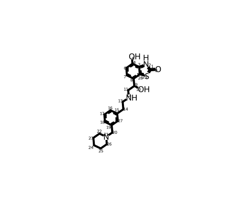 O=c1[nH]c2c(O)ccc(C(O)CNCCc3cccc(CN4CCCCC4)c3)c2s1